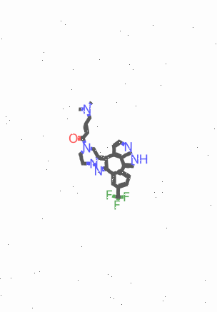 Cc1c[nH]c2nccc(-c3c(-c4cccc(C(F)(F)F)c4)nn4c3CN(C(=O)/C=C/CN(C)C)CC4)c12